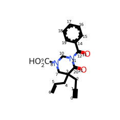 C#CCC1(CC=C)CN(C(=O)O)CN(C(=O)c2ccccc2)C1=O